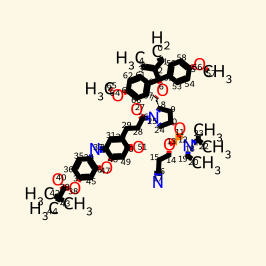 C=C/C(=C\C)C(OC[C@@H]1C[C@@H](OP(OCCC#N)N(CC)C(C)C)CN1C(=O)CCc1cc2nc3ccc(OC(=O)C(C)(C)C)cc3oc-2cc1=O)(c1ccc(OC)cc1)c1ccc(OC)cc1